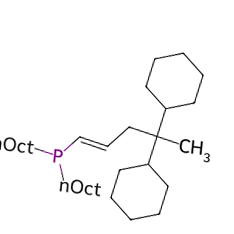 CCCCCCCCP(C=CCC(C)(C1CCCCC1)C1CCCCC1)CCCCCCCC